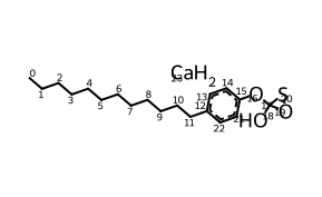 CCCCCCCCCCCCc1ccc(OC2(O)OS2)cc1.[CaH2]